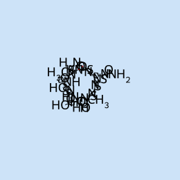 Cc1sc2nc1C(=O)N[C@@H]([C@H](O)c1ccccc1)c1nc(cs1)C(=O)N[C@@H](Cc1ccc(O)cc1)C(=O)N[C@@H]([C@@H](C)[C@@H](O)CO)c1nc(cs1)-c1nc(cs1)-c1nc(-c3nc(C(N)=O)cs3)ccc1-c1nc(cs1)C(=O)N[C@H]2CC(N)=O